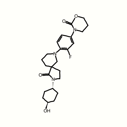 O=C1OCCCN1c1ccc(N2CCCC3(CCN([C@H]4CC[C@H](O)CC4)C3=O)C2)c(F)c1